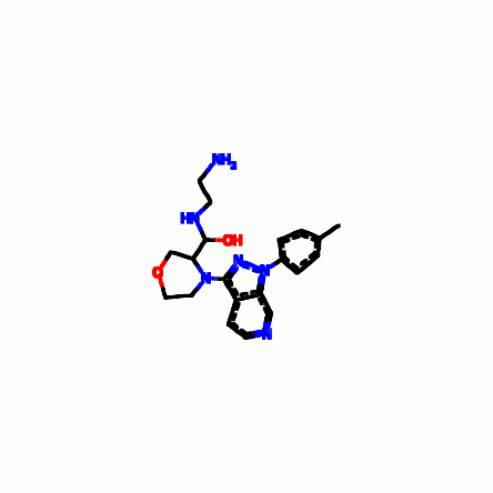 Cc1ccc(-n2nc(N3CCOCC3C(O)NCCN)c3ccncc32)cc1